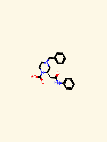 O=C(C[C@@H]1CN(Cc2ccccc2)CCN1C(=O)O)Nc1ccccc1